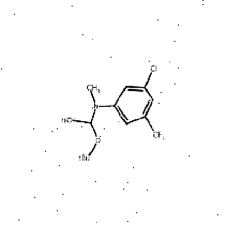 CN(c1cc(Cl)cc(C(F)(F)F)c1)C(O)OC(C)(C)C